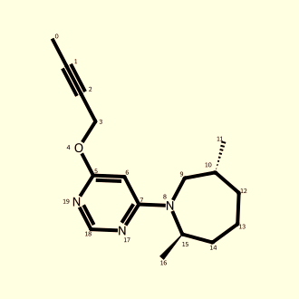 CC#CCOc1cc(N2C[C@H](C)CCC[C@H]2C)ncn1